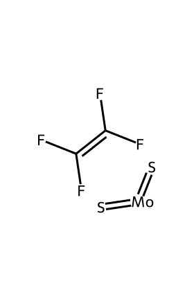 FC(F)=C(F)F.[S]=[Mo]=[S]